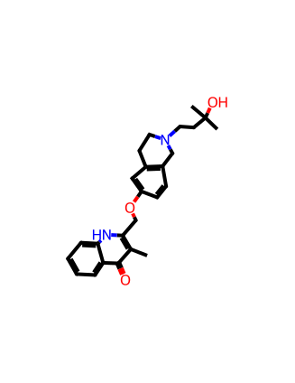 Cc1c(COc2ccc3c(c2)CCN(CCC(C)(C)O)C3)[nH]c2ccccc2c1=O